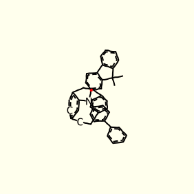 CC1(C)c2ccccc2-c2ccc(N(c3ccc(-c4ccccc4)cc3)c3cc4ccc3CCc3ccc(cc3)CC4)cc21